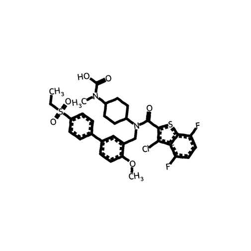 CCS(=O)(=O)c1ccc(-c2ccc(OC)c(CN(C(=O)c3sc4c(F)ccc(F)c4c3Cl)C3CCC(N(C)C(=O)O)CC3)c2)cc1